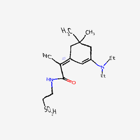 CCN(CC)C1=C/C(=C(/C#N)C(=O)NCCS(=O)(=O)O)CC(C)(C)C1